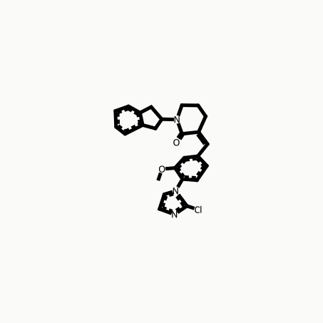 COc1cc(C=C2CCCN(C3Cc4ccccc4C3)C2=O)ccc1-n1ccnc1Cl